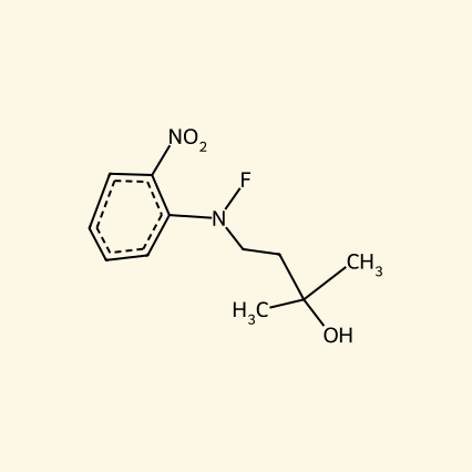 CC(C)(O)CCN(F)c1ccccc1[N+](=O)[O-]